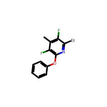 CCc1nc(Oc2ccccc2)c(F)c(C)c1F